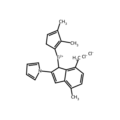 CC1=CC[C]([Ti+2][CH]2C(n3cccc3)=Cc3c(C)ccc(C)c32)=C1C.[Cl-].[Cl-]